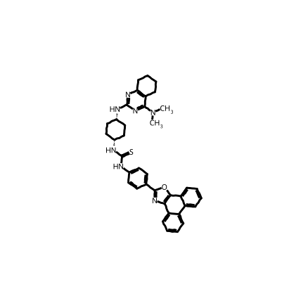 CN(C)c1nc(N[C@H]2CC[C@@H](NC(=S)Nc3ccc(-c4nc5c6ccccc6c6ccccc6c5o4)cc3)CC2)nc2c1CCCC2